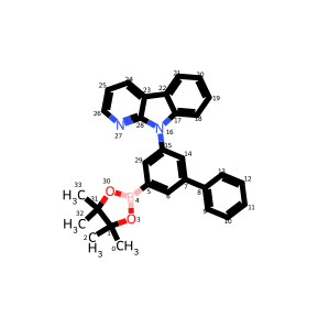 CC1(C)OB(c2cc(-c3ccccc3)cc(-n3c4ccccc4c4cccnc43)c2)OC1(C)C